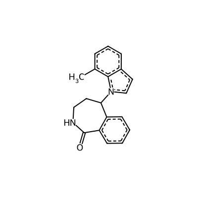 Cc1cccc2ccn(C3CCNC(=O)c4ccccc43)c12